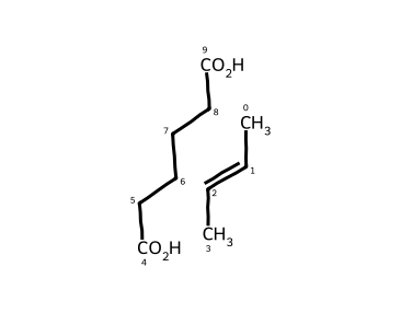 CC=CC.O=C(O)CCCCC(=O)O